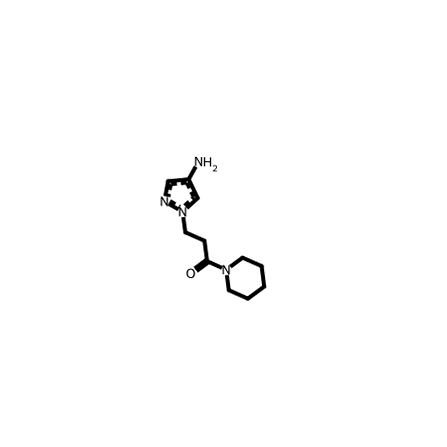 Nc1cnn(CCC(=O)N2CCCCC2)c1